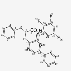 O=C(O)C(Cc1ccccc1)Cc1ncc(-c2ccccc2)nc1Cc1cc(F)cc(F)c1F